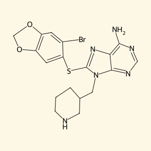 Nc1ncnc2c1nc(Sc1cc3c(cc1Br)OCO3)n2CC1CCCNC1